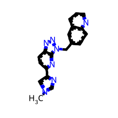 Cn1cnc(-c2ccc3nnn(Cc4ccc5ncccc5c4)c3n2)c1